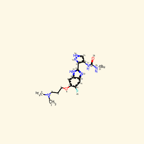 CN(C)CCCOc1cc2[nH]c(-c3n[nH]cc3NC(=O)NC(C)(C)C)nc2cc1F